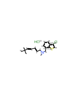 CN(CC=CC#CC(C)(C)C)Cc1cccc2c(Cl)csc12.Cl